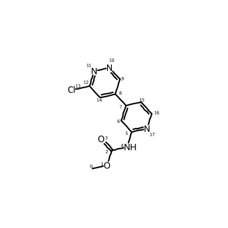 COC(=O)Nc1cc(-c2cnnc(Cl)c2)ccn1